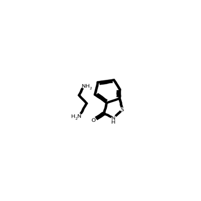 NCCN.O=c1[nH]sc2ccccc12